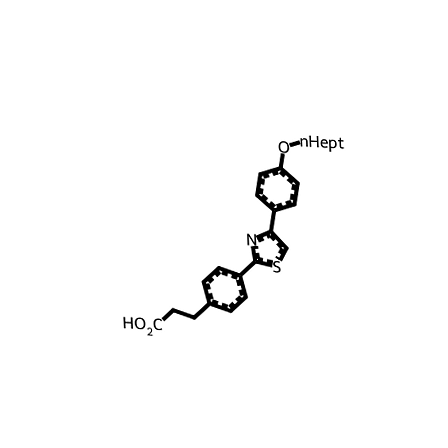 CCCCCCCOc1ccc(-c2csc(-c3ccc(CCC(=O)O)cc3)n2)cc1